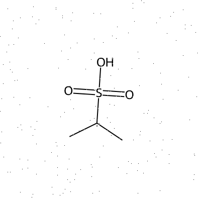 C[C](C)S(=O)(=O)O